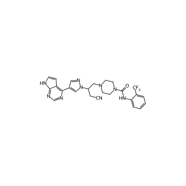 N#CCC(CN1CCN(C(=O)Nc2ccccc2C(F)(F)F)CC1)n1cc(-c2ncnc3[nH]ccc23)cn1